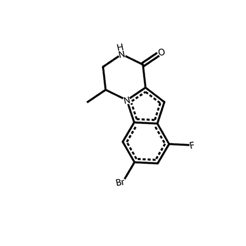 CC1CNC(=O)c2cc3c(F)cc(Br)cc3n21